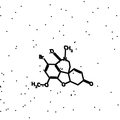 COc1cc(Br)c2c3c1OC1CC(=O)C=CC31CCN(C)C2=O